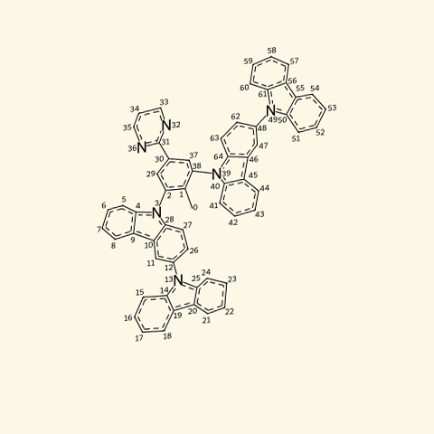 Cc1c(-n2c3ccccc3c3cc(-n4c5ccccc5c5ccccc54)ccc32)cc(-c2ncccn2)cc1-n1c2ccccc2c2cc(-n3c4ccccc4c4ccccc43)ccc21